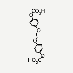 O=C(O)Oc1ccc(OCCOc2ccc(OC(=O)O)cc2)cc1